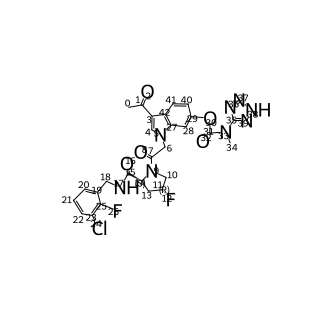 CC(=O)c1cn(CC(=O)N2C[C@H](F)C[C@H]2C(=O)NCc2cccc(Cl)c2F)c2cc(OC(=O)N(C)c3nn[nH]n3)ccc12